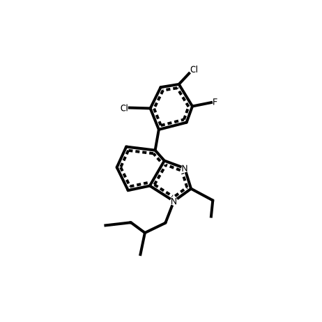 CCc1nc2c(-c3cc(F)c(Cl)cc3Cl)cccc2n1CC(C)CC